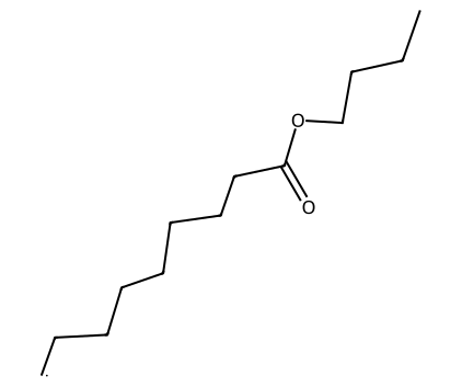 [CH2]CCCCCCCC(=O)OCCCC